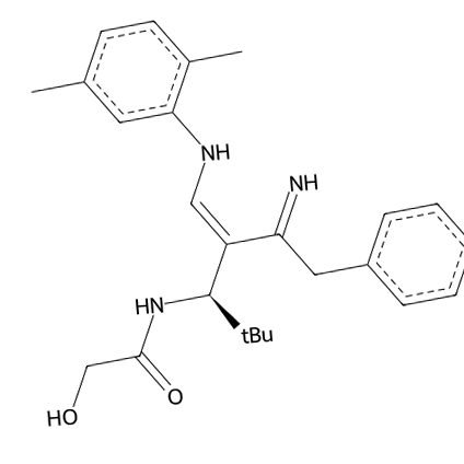 Cc1ccc(C)c(N/C=C(\C(=N)Cc2ccccc2)[C@H](NC(=O)CO)C(C)(C)C)c1